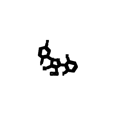 O=Cc1c(-c2c(F)cccc2F)nn(-c2cc(F)ccc2F)c1Br